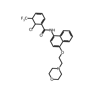 O=C(Nc1ccc(OCCN2CCOCC2)c2ccccc12)C1=CC=CC(C(F)(F)F)C1Cl